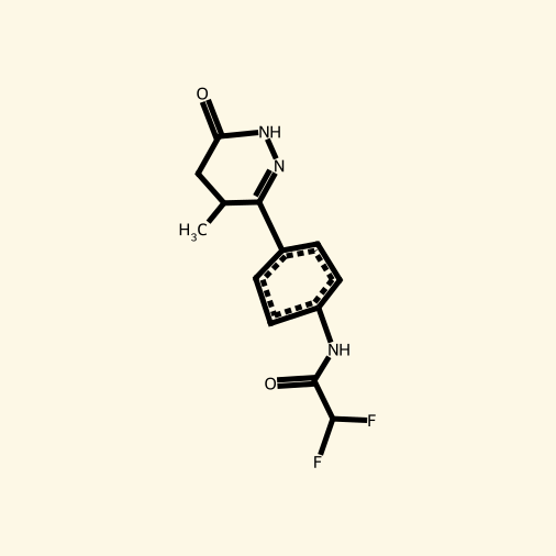 CC1CC(=O)NN=C1c1ccc(NC(=O)C(F)F)cc1